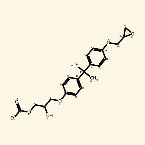 CCC(=O)OCC(O)COc1ccc(C(C)(C)c2ccc(OCC3CO3)cc2)cc1